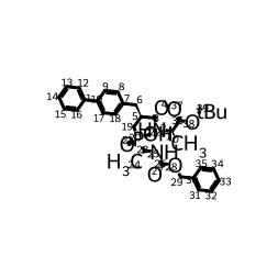 C[C@H](NC(=O)[C@H](Cc1ccc(-c2ccccc2)cc1)CP(=O)(O)[C@H](C)NC(=O)OCc1ccccc1)C(=O)OC(C)(C)C